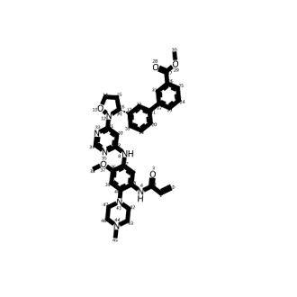 C=CC(=O)Nc1cc(Nc2cc(N3OCC[C@@H]3c3cccc(-c4cccc(C(=O)OC)c4)c3)ncn2)c(OC)cc1N1CCN(C)CC1